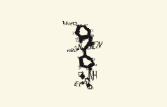 CCCCn1c(-c2ccc(NS(=O)(=O)CC)cc2)c(C#N)c2ccc(OC)cc21